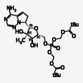 CC(C)(C)C(=O)OCOP(=O)(OCOC(=O)C(C)(C)C)OC[C@H]1O[C@@H](C2CC=C3C(N)=NC=NN32)[C@](C)(O)[C@@H]1O